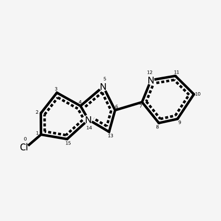 Clc1ccc2nc(-c3ccccn3)cn2c1